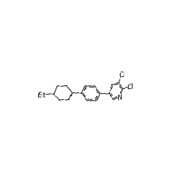 CCC1CCC(c2ccc(-c3cnc(Cl)c(Cl)c3)cc2)CC1